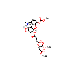 CN1CC[C@]23c4c5ccc(OC(=O)OC(C)(C)C)c4O[C@H]2C(OC(=O)CCC(=O)O[C@H](CC(=O)OC(C)(C)C)C(=O)OC(C)(C)C)=CC[C@@]3(O)[C@H]1C5